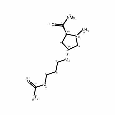 CNC(=O)[C@@H]1C[C@@H](OCCCOC(=O)C(F)(F)F)CN1C